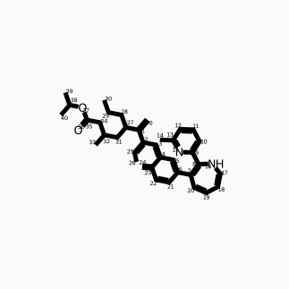 C=C(C(/C=c1/cc(C2=C(c3cccc(C)n3)NC=CC=C2)ccc1=C)=C/C)C(CCC)CC(C)CC(=O)OC(C)C